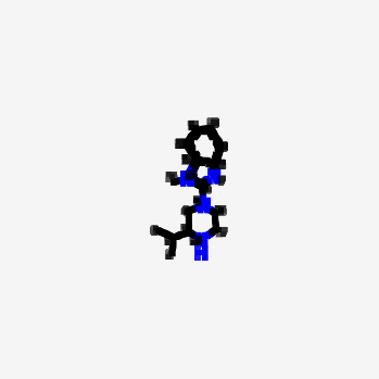 CC(C)C1CN(c2nc3ccccc3n2C)CCN1